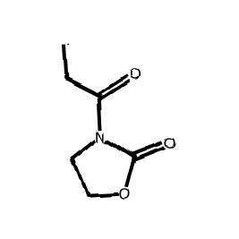 [CH2]CC(=O)N1CCOC1=O